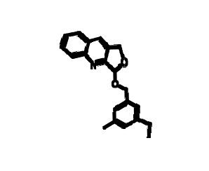 CCc1cc(C)cc(COC2OCc3cc4ccccc4nc32)c1